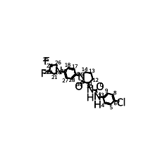 O=C(Nc1ccc(Cl)cc1)NC1CCCN(c2ccc(N3C[C@@H](F)[C@@H](F)C3)cc2)C1=O